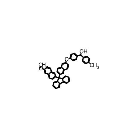 COc1ccc2cc(C3(c4ccc5cc(Oc6ccc(C(O)c7ccc(C)cc7)cc6)ccc5c4)c4ccccc4-c4ccccc43)ccc2c1